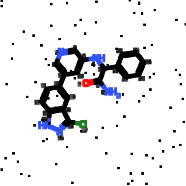 NC(=O)C(Nc1cncc(-c2ccc3[nH]nc(Cl)c3c2)c1)c1ccccc1